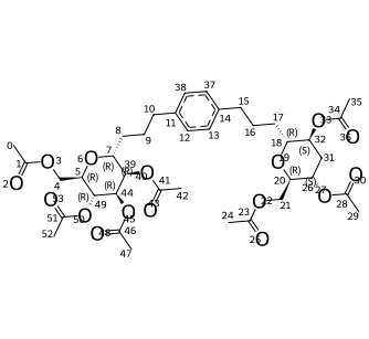 CC(=O)OC[C@H]1O[C@H](CCCc2ccc(CCC[C@H]3O[C@H](COC(C)=O)[C@@H](OC(C)=O)C[C@@H]3OC(C)=O)cc2)[C@@H](OC(C)=O)[C@@H](OC(C)=O)[C@@H]1OC(C)=O